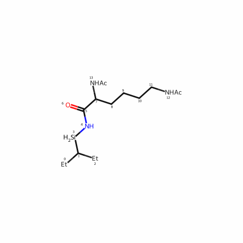 CCC(CC)[SiH2]NC(=O)C(CCCCNC(C)=O)NC(C)=O